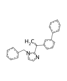 C=C(c1cccc(-c2ccccc2)c1)c1nccn1Cc1ccccc1